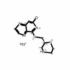 Cl.Clc1cc2nccnc2c(OC[C@@H]2CNCCO2)n1